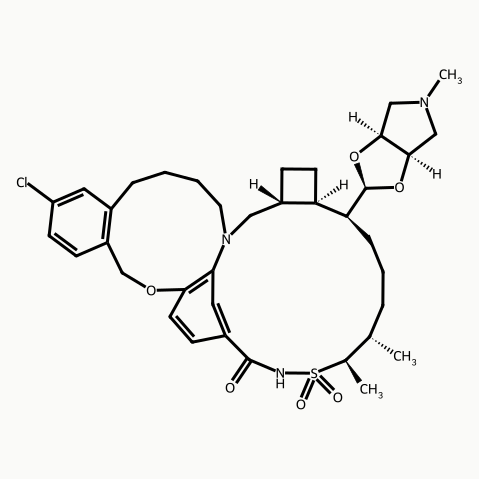 C[C@@H]1[C@@H](C)CCC[C@H]([C@H]2O[C@H]3CN(C)C[C@H]3O2)[C@@H]2CC[C@H]2CN2CCCCc3cc(Cl)ccc3COc3ccc(cc32)C(=O)NS1(=O)=O